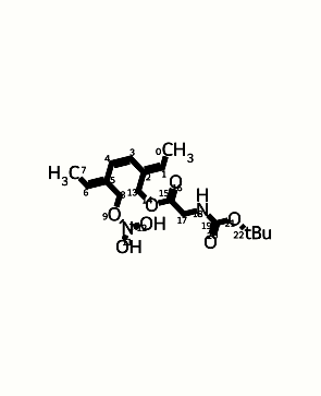 C\C=C(/C=C\C(=C/C)CON(O)O)COC(=O)CNC(=O)OC(C)(C)C